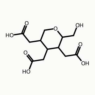 O=C(O)CC1COC(CO)C(CC(=O)O)C1CC(=O)O